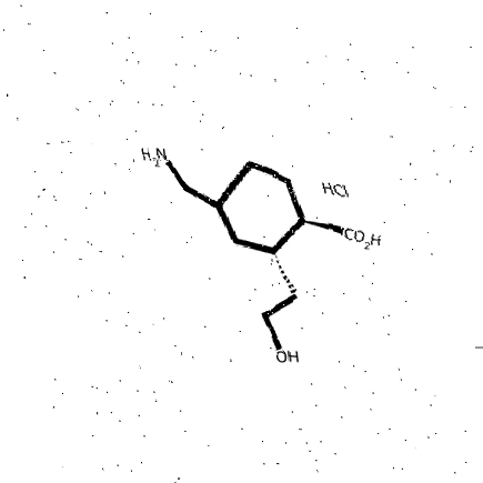 Cl.NCC1CC[C@@H](C(=O)O)[C@H](CCO)C1